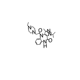 CCN1CCN(CC(=O)N2c3ccccc3NC(=O)c3c2c(C)nn3C(C)C)CC1